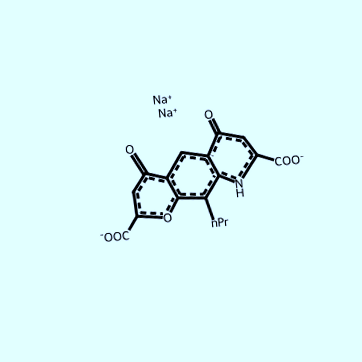 CCCc1c2[nH]c(C(=O)[O-])cc(=O)c2cc2c(=O)cc(C(=O)[O-])oc12.[Na+].[Na+]